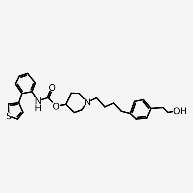 O=C(Nc1ccccc1-c1ccsc1)OC1CCN(CCCCc2ccc(CCO)cc2)CC1